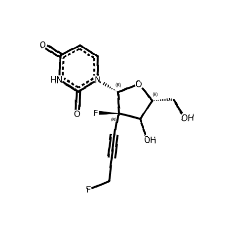 O=c1ccn([C@@H]2O[C@H](CO)C(O)[C@]2(F)C#CCF)c(=O)[nH]1